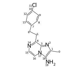 Cc1nc2c(CCc3ccc(Cl)cc3)nccn2c1N